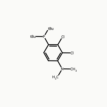 CN(C)c1ccc(P(C(C)(C)C)C(C)(C)C)c(Cl)c1Cl